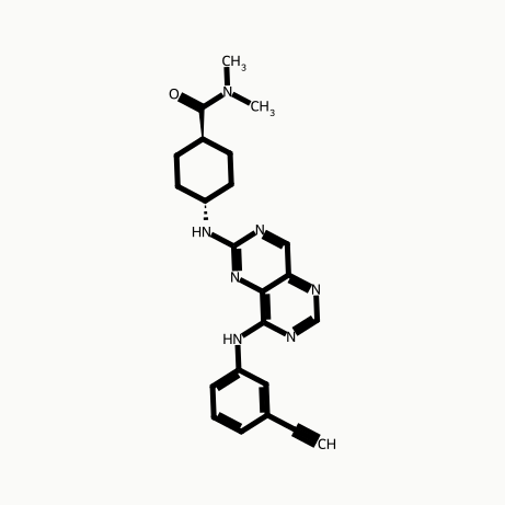 C#Cc1cccc(Nc2ncnc3cnc(N[C@H]4CC[C@H](C(=O)N(C)C)CC4)nc23)c1